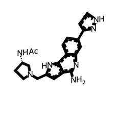 CC(=O)N[C@H]1CCN(Cc2cc3c(N)nc4cc(-c5cc[nH]n5)ccc4c3[nH]2)C1